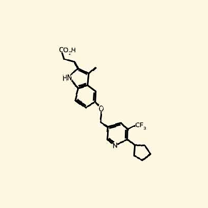 Cc1c(CCC(=O)O)[nH]c2ccc(OCc3cnc(C4CCCC4)c(C(F)(F)F)c3)cc12